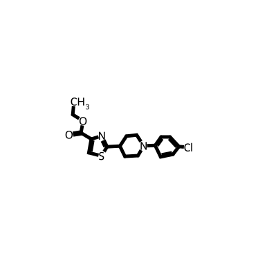 CCOC(=O)c1csc(C2CCN(c3ccc(Cl)cc3)CC2)n1